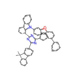 CC1(C)c2ccccc2-c2ccc(-c3nc(-c4ccccc4)nc(-c4cccc5c6ccccc6n(-c6ccc7c(c6)oc6ccc(-c8ccccc8)cc67)c45)n3)cc21